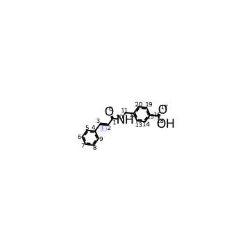 O=C(/C=C/c1ccccc1)NCc1ccc(C(=O)O)cc1